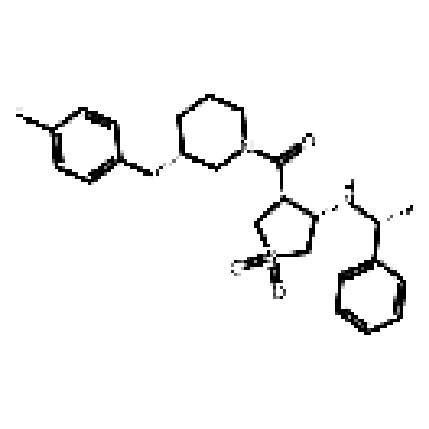 C[C@@H](N[C@@H]1CS(=O)(=O)C[C@H]1C(=O)N1CCC[C@@H](Cc2ccc(F)cc2)C1)c1ccccc1